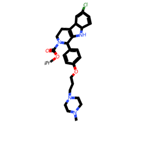 CC(C)OC(=O)N1CCC2=C(NC3C=CC(Cl)=CC23)C1c1ccc(OCCCN2CCN(C)CC2)cc1